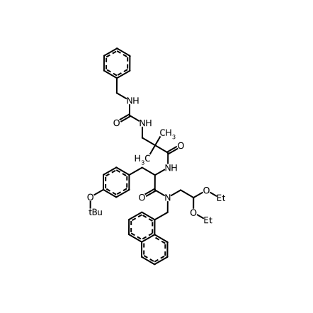 CCOC(CN(Cc1cccc2ccccc12)C(=O)C(Cc1ccc(OC(C)(C)C)cc1)NC(=O)C(C)(C)CNC(=O)NCc1ccccc1)OCC